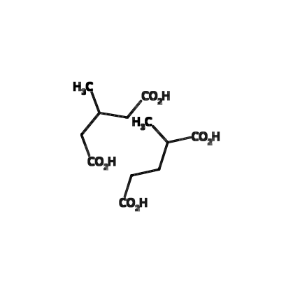 CC(CC(=O)O)CC(=O)O.CC(CCC(=O)O)C(=O)O